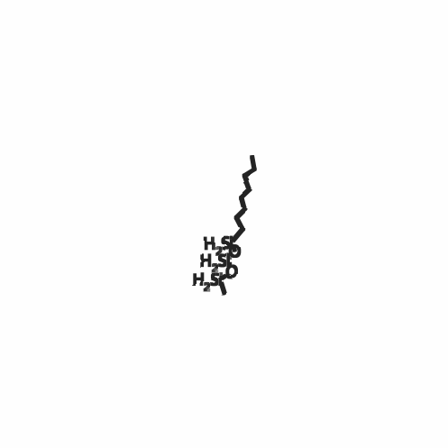 CCCCCCCC[SiH2]O[SiH2]O[SiH2]C